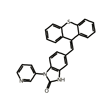 O=c1[nH]c2cc(C=C3c4ccccc4Sc4ccccc43)ccc2n1-c1cccnc1